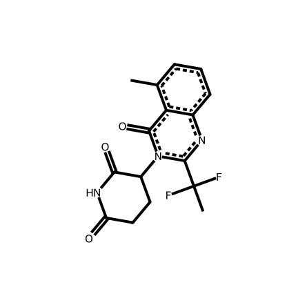 Cc1cccc2nc(C(C)(F)F)n(C3CCC(=O)NC3=O)c(=O)c12